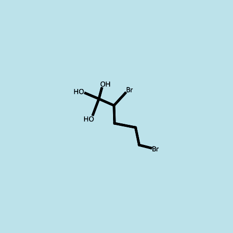 OC(O)(O)C(Br)CCCBr